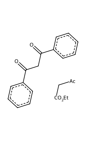 CCOC(=O)CC(C)=O.O=C(CC(=O)c1ccccc1)c1ccccc1